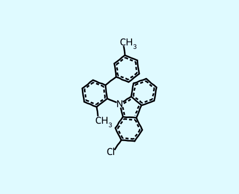 Cc1cccc(-c2cccc(C)c2-n2c3ccccc3c3ccc(Cl)cc32)c1